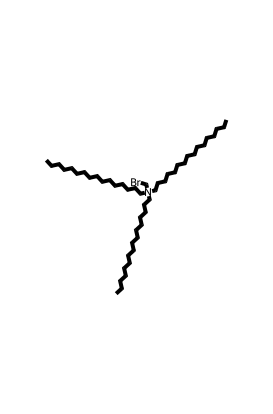 CCCCCCCCCCCCCCCC[N+](CBr)(CCCCCCCCCCCCCCCC)CCCCCCCCCCCCCCCC